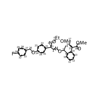 CCON=C(C=NOC(C)c1ccccc1C(=COC)C(=O)OC)c1ccc(OCc2ccc(F)cc2)cc1